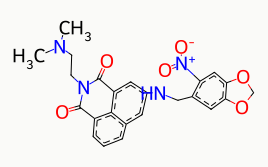 CN(C)CCN1C(=O)c2cccc3cc(NCc4cc5c(cc4[N+](=O)[O-])OCO5)cc(c23)C1=O